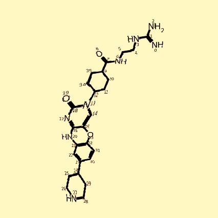 N=C(N)NCCNC(=O)C1CCC(n2cc3c(nc2=O)Nc2cc(C4CCNCC4)ccc2O3)CC1